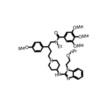 CCCOCCn1c(NC2CCN(CCC(CN(CC)C(=O)c3cc(OC)c(OC)c(OC)c3)c3ccc(OC)cc3)CC2)nc2ccccc21